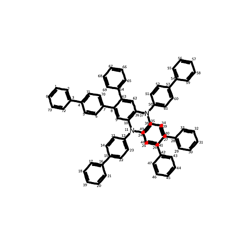 c1ccc(-c2ccc(-c3cc(N(c4ccc(-c5ccccc5)cc4)c4ccc(-c5ccccc5)cc4)c(N(c4ccc(-c5ccccc5)cc4)c4ccc(-c5ccccc5)cc4)cc3-c3ccccc3)cc2)cc1